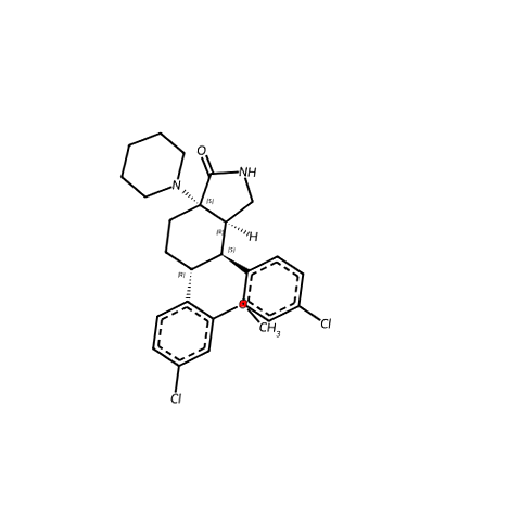 COc1cc(Cl)ccc1[C@@H]1CC[C@@]2(N3CCCCC3)C(=O)NC[C@H]2[C@H]1c1ccc(Cl)cc1